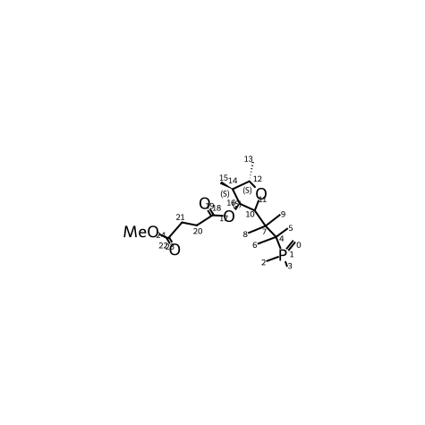 C=P(C)(C)C(C)(C)C(C)(C)C1O[C@@H](C)[C@H](C)[C@@H]1OC(=O)CCC(=O)OC